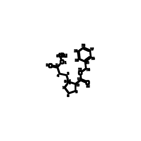 CC(C)(C)OC(=O)CCN1CCCC1C(=O)OCc1ccccc1